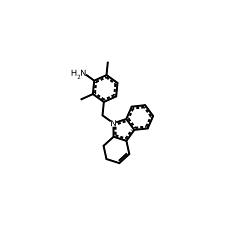 Cc1ccc(Cn2c3c(c4ccccc42)C=CCC3)c(C)c1N